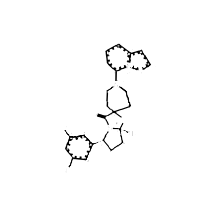 O=C1N2[C@@H](CC[C@H]2c2cc(F)cc(F)c2)OC12CCN(c1cccc3ccnn13)CC2